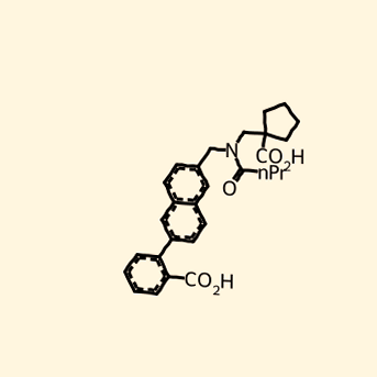 CCCC(=O)N(Cc1ccc2cc(-c3ccccc3C(=O)O)ccc2c1)CC1(C(=O)O)CCCC1